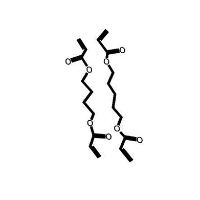 C=CC(=O)OCCCCCOC(=O)C=C.C=CC(=O)OCCCCOC(=O)C=C